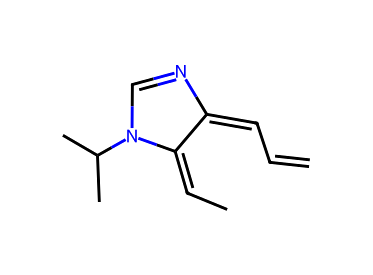 C=C/C=c1/ncn(C(C)C)/c1=C/C